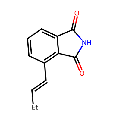 CCC=Cc1cccc2c1C(=O)NC2=O